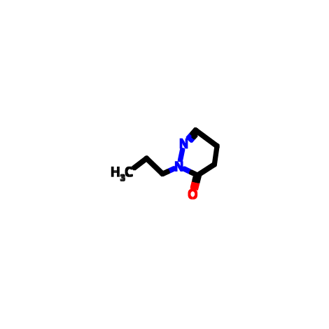 CCCN1N=CCCC1=O